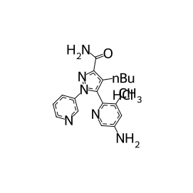 CCCCc1c(C(N)=O)nn(-c2cccnc2)c1-c1ncc(N)cc1C.Cl